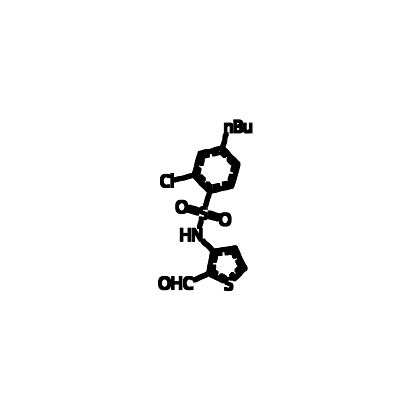 CCCCc1ccc(S(=O)(=O)Nc2ccsc2C=O)c(Cl)c1